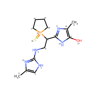 Cc1c[nH]c(NCC(c2nc(C)c(O)[nH]2)P2(=S)CCCC2)n1